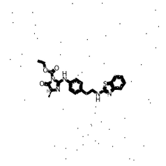 CCOC(=O)N1C(=O)[C@H](C)N=C1Nc1ccc(CCNc2nc3ccccc3s2)cc1